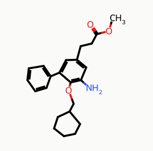 COC(=O)CCc1cc(N)c(OCC2CCCCC2)c(-c2ccccc2)c1